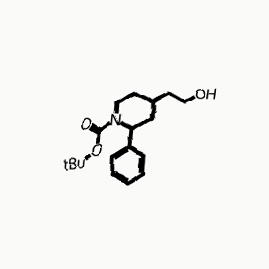 CC(C)(C)OC(=O)N1CCC(CCO)CC1c1ccccc1